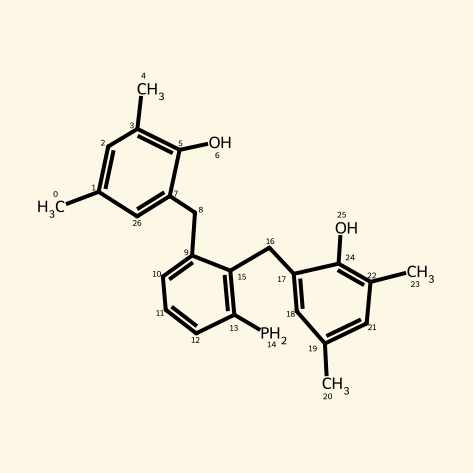 Cc1cc(C)c(O)c(Cc2cccc(P)c2Cc2cc(C)cc(C)c2O)c1